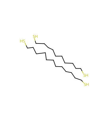 SCCCCCCCCCCCCS.SCCCCCCCCCCS